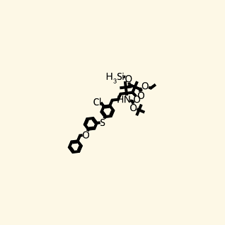 CCOC(=O)C(C)(CO[SiH3])C(C)C(CCCc1ccc(Sc2cccc(OCc3ccccc3)c2)cc1Cl)(NC(=O)OC(C)(C)C)C(C)(C)C